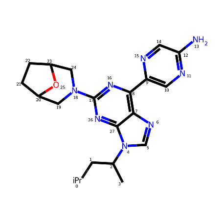 CC(C)CC(C)n1cnc2c(-c3cnc(N)cn3)nc(N3CC4CCC(C3)O4)nc21